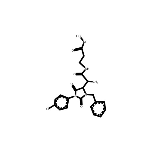 CC(C(=O)NCCC(=O)NO)C1C(=O)N(c2ccc(Cl)cc2)C(=O)N1Cc1ccccc1